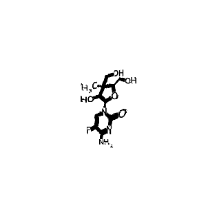 C[C@]1(CO)C(O)[C@H](n2cc(F)c(N)nc2=O)O[C@@H]1CO